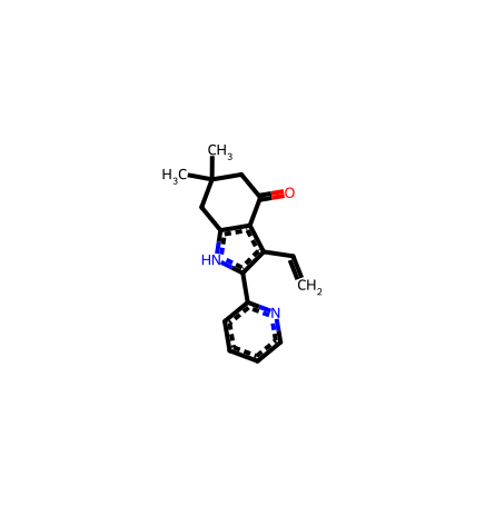 C=Cc1c(-c2ccccn2)[nH]c2c1C(=O)CC(C)(C)C2